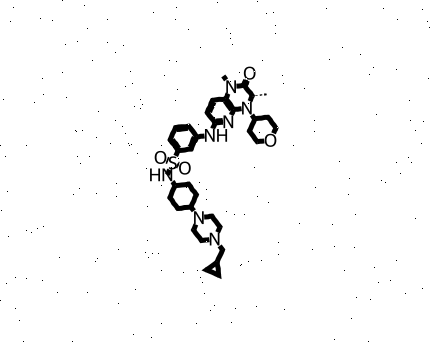 C[C@H]1C(=O)N(C)c2ccc(Nc3cccc(S(=O)(=O)NC4CCC(N5CCN(CC6CC6)CC5)CC4)c3)nc2N1C1CCOCC1